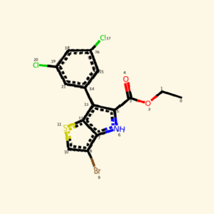 CCOC(=O)c1[nH]c2c(Br)csc2c1-c1cc(Cl)cc(Cl)c1